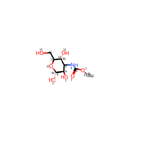 CC(C)(C)OC(=O)NC1C(O)[C@H](O)OC(CO)[C@@H]1O